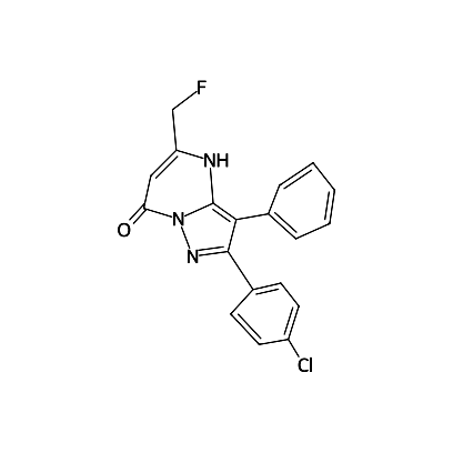 O=c1cc(CF)[nH]c2c(-c3ccccc3)c(-c3ccc(Cl)cc3)nn12